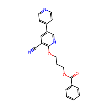 N#Cc1cc(-c2ccncc2)cnc1OCCCOC(=O)c1ccccc1